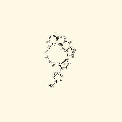 CN1CC2CC1CN2c1ccc2cc1OCCCOc1cccc(F)c1-c1cc3c-2n[nH]c3cn1